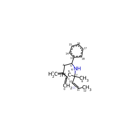 C=CC(=C)CC(NC(C)(C)/C=C\C)c1ccccc1